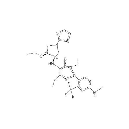 CCO[C@H]1CN(c2nccs2)C[C@H]1Nc1c(CC)nc(-c2ccc(N(C)C)cc2C(F)(F)F)n(CC)c1=O